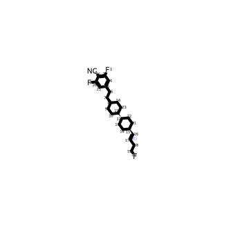 N#Cc1c(F)cc(CCC2CCC([C@H]3CC[C@H](/C=C/CCF)CC3)CC2)cc1F